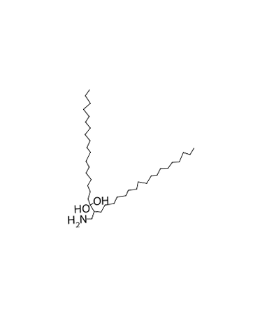 CCCCCCCCCCCCCCCCCCC(CN)C(O)(O)CCCCCCCCCCCCCCCCCC